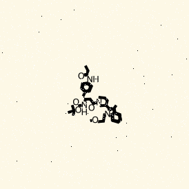 CCC(=O)Nc1ccc(C[C@H](CC(=O)N2CCCC(c3c(C)c4ccccc4n3CCCOC)C2)NC(=O)OC(C)(C)C)cc1